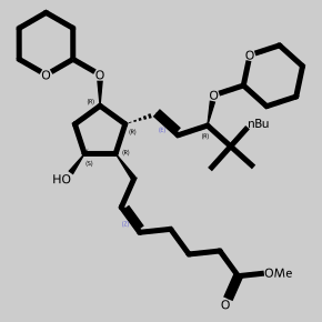 CCCCC(C)(C)[C@@H](/C=C/[C@@H]1[C@@H](C/C=C\CCCC(=O)OC)[C@@H](O)C[C@H]1OC1CCCCO1)OC1CCCCO1